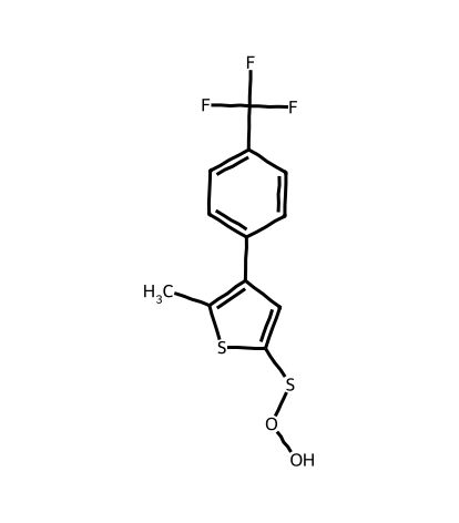 Cc1sc(SOO)cc1-c1ccc(C(F)(F)F)cc1